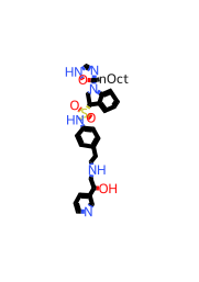 CCCCCCCCC1(N2CC(S(=O)(=O)Nc3ccc(CCNCC(O)c4cccnc4)cc3)c3ccccc32)N=CNO1